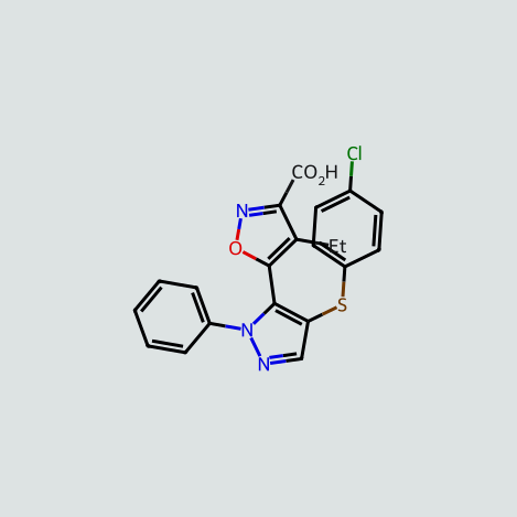 CCc1c(C(=O)O)noc1-c1c(Sc2ccc(Cl)cc2)cnn1-c1ccccc1